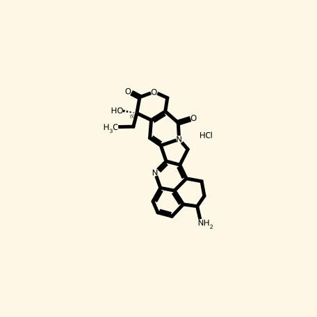 CC[C@@]1(O)C(=O)OCc2c1cc1n(c2=O)Cc2c-1nc1cccc3c1c2CCC3N.Cl